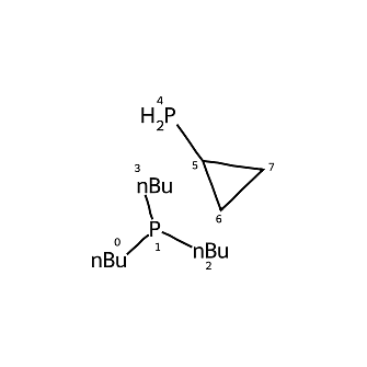 CCCCP(CCCC)CCCC.PC1CC1